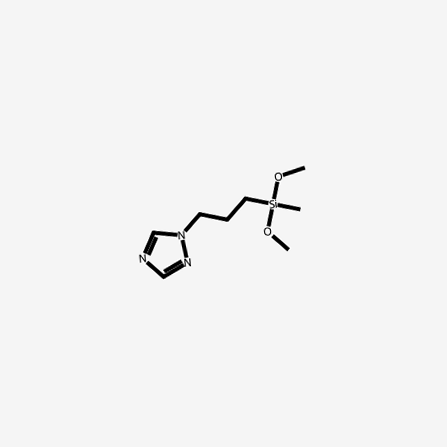 CO[Si](C)(CCCn1cncn1)OC